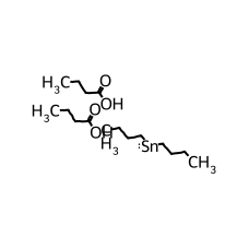 CCCC(=O)O.CCCC(=O)O.CCC[CH2][Sn][CH2]CCC